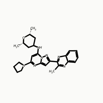 Cc1nc2ccccc2nc1-c1cc2nc(N3CCCC3)cc(NC3C[C@@H](C)O[C@@H](C)C3)n2n1